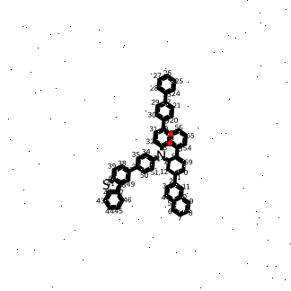 C1=C(c2ccc3ccccc3c2)CC(N(c2ccc(-c3ccc(-c4ccccc4)cc3)cc2)c2ccc(-c3ccc4sc5ccccc5c4c3)cc2)C(c2ccccc2)=C1